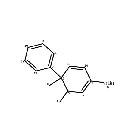 CCCCC1=CC(C)C(C)(c2ccccc2)C=C1